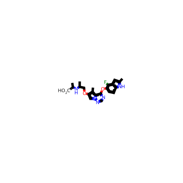 Cc1cc2c(F)c(Oc3ncnn4cc(OCC(C)NC(C)C(=O)O)c(C)c34)ccc2[nH]1